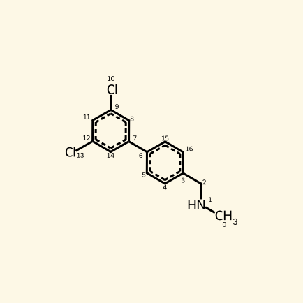 CNCc1ccc(-c2cc(Cl)cc(Cl)c2)cc1